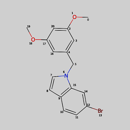 COc1cc(Cn2ccc3ccc(Br)cc32)cc(OC)c1